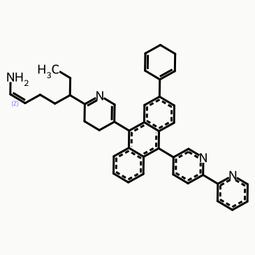 CCC(CC/C=C\N)C1=NC=C(c2c3ccccc3c(-c3ccc(-c4ccccn4)nc3)c3ccc(C4=CCCC=C4)cc23)CC1